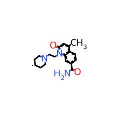 Cc1cc(=O)n(CCN2CC[CH]CC2)c2cc(C(N)=O)ccc12